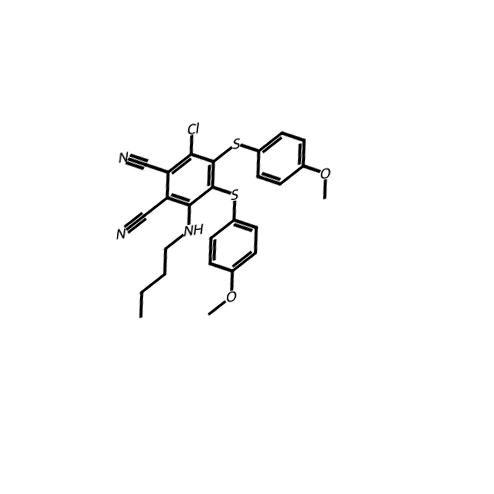 CCCCNc1c(C#N)c(C#N)c(Cl)c(Sc2ccc(OC)cc2)c1Sc1ccc(OC)cc1